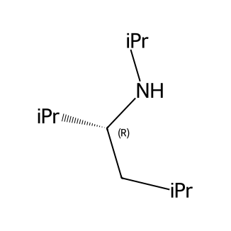 CC(C)C[C@@H](NC(C)C)C(C)C